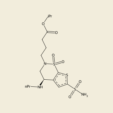 CCCN[C@H]1CN(CCCC(=O)OC(C)C)S(=O)(=O)c2sc(S(N)(=O)=O)cc21